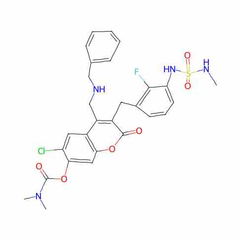 CNS(=O)(=O)Nc1cccc(Cc2c(CNCc3ccccc3)c3cc(Cl)c(OC(=O)N(C)C)cc3oc2=O)c1F